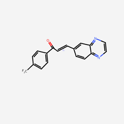 O=C(/C=C/c1ccc2nccnc2c1)c1ccc(C(F)(F)F)cc1